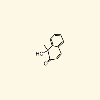 CC1(O)C(=O)C=Cc2ccccc21